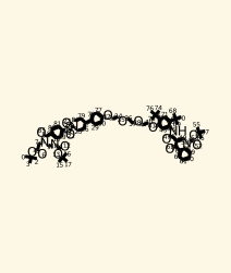 CC(C)(C)OC(=O)CN1CN(C(=O)OC(C)(C)C)c2cc(S(=O)(=O)N3CCC(c4ccc(OCCOCCOCCOc5cc(NC(=O)c6cn(C(=O)OC(C)(C)C)c7ccccc7c6=O)c(C(C)(C)C)cc5C(C)(C)C)cc4)CC3)ccc2C1=O